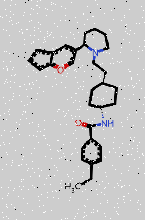 CCc1ccc(C(=O)N[C@H]2CC[C@H](CCN3CCCCC3c3coc4cccc-4c3)CC2)cc1